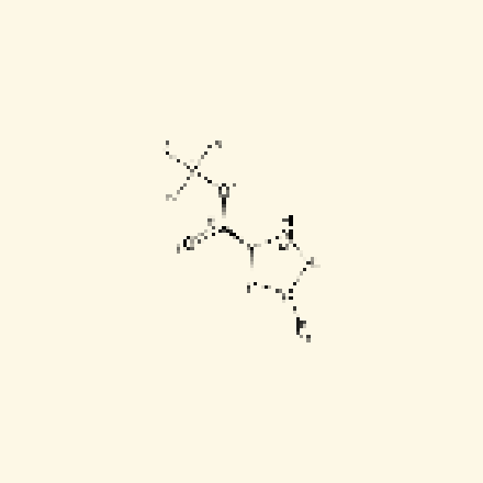 CC(C)(C)OC(=O)[C@@H]1CC(F)CN1